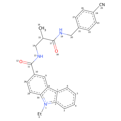 CCn1c2ccccc2c2cc(C(=O)NCC(C)C(=O)NCc3ccc(C#N)cc3)ccc21